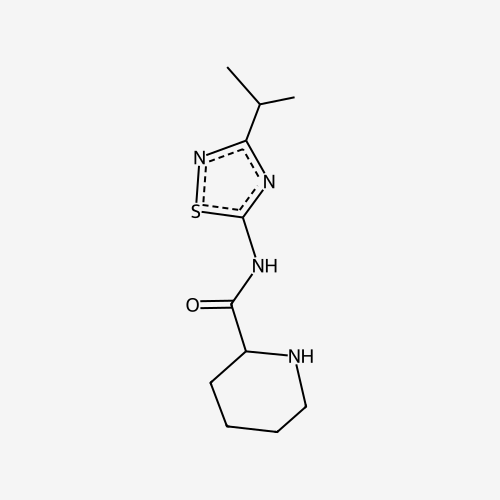 CC(C)c1nsc(NC(=O)C2CCCCN2)n1